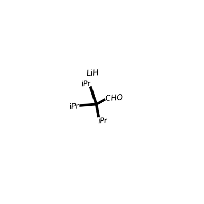 CC(C)C(C=O)(C(C)C)C(C)C.[LiH]